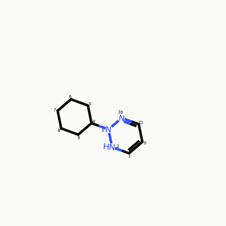 C1=CNN(C2CCCCC2)N=C1